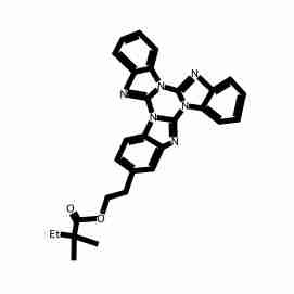 CCC(C)(C)C(=O)OCCc1ccc2c(c1)nc1n3c4ccccc4nc3n3c4ccccc4nc3n21